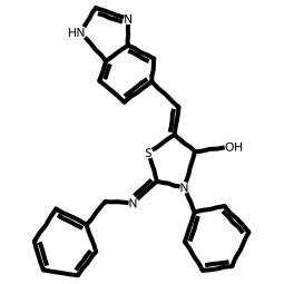 OC1/C(=C/c2ccc3[nH]cnc3c2)S/C(=N\Cc2ccccc2)N1c1ccccc1